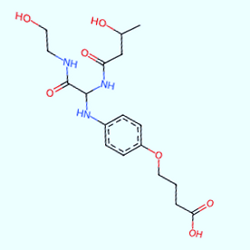 CC(O)CC(=O)NC(Nc1ccc(OCCCC(=O)O)cc1)C(=O)NCCO